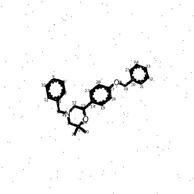 CC1(C)CN(Cc2ccccc2)CC(c2ccc(OCc3ccccc3)cc2)O1